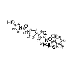 C[C@@H](ON1C(N)=CC=C2C(C3=CCN(CC(=O)N4CCC(O)C4)CC3)=COC21)c1c(Cl)ccc(F)c1Cl